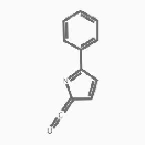 O=C=C1C=CC(c2ccccc2)=N1